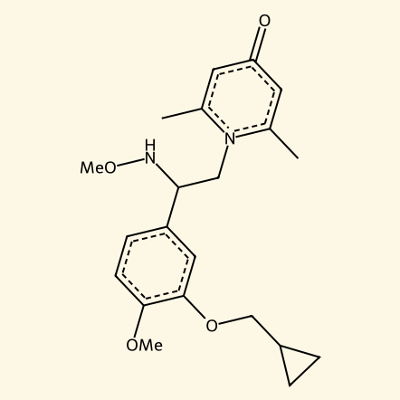 CONC(Cn1c(C)cc(=O)cc1C)c1ccc(OC)c(OCC2CC2)c1